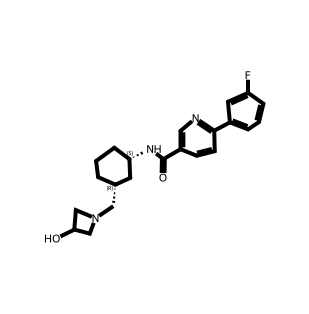 O=C(N[C@H]1CCC[C@@H](CN2CC(O)C2)C1)c1ccc(-c2cccc(F)c2)nc1